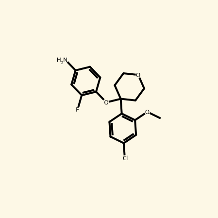 COc1cc(Cl)ccc1C1(Oc2ccc(N)cc2F)CCOCC1